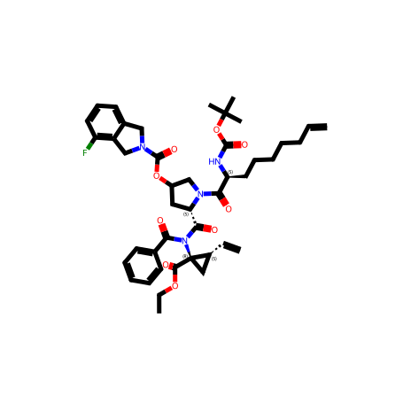 C=CCCCCC[C@H](NC(=O)OC(C)(C)C)C(=O)N1CC(OC(=O)N2Cc3cccc(F)c3C2)C[C@H]1C(=O)N(C(=O)c1ccccc1)[C@]1(C(=O)OCC)C[C@H]1C=C